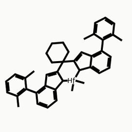 Cc1cccc(C)c1-c1cccc2c1C=C1[CH]2[Hf]([CH3])([CH3])[CH]2C(=Cc3c(-c4c(C)cccc4C)cccc32)C12CCCCC2